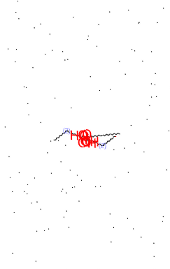 CCCCCCCC/C=C\CCCCCCCC(=O)C(O)(CO)C(O)(C(=O)CCCCCCC/C=C\CCCCCCCC)C(=O)CCCCCCCCCCCCCCCCC